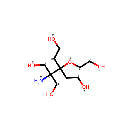 NC(CO)(CO)C(CCO)(CCO)OCCO